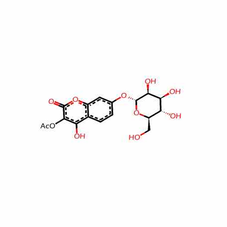 CC(=O)Oc1c(O)c2ccc(O[C@H]3O[C@H](CO)[C@@H](O)[C@H](O)[C@@H]3O)cc2oc1=O